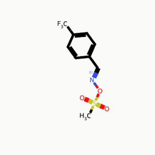 CS(=O)(=O)O/N=C/c1[c]cc(C(F)(F)F)cc1